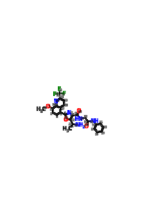 COc1ccc(-c2nc(C(=O)NCC(=O)Nc3ccccc3)c([C@H](C)N)o2)c2ccc(C(F)(F)F)nc12